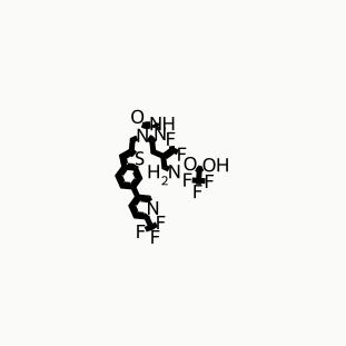 NCC(Cc1n[nH]c(=O)n1Cc1cc2ccc(-c3ccc(C(F)(F)F)nc3)cc2s1)=C(F)F.O=C(O)C(F)(F)F